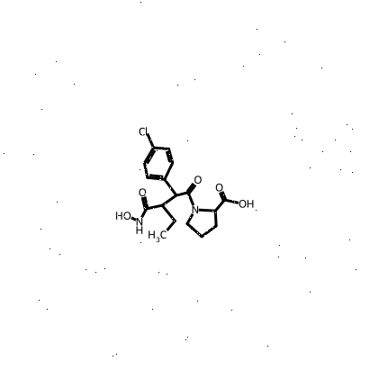 CCC(C(=O)NO)C(C(=O)N1CCCC1C(=O)O)c1ccc(Cl)cc1